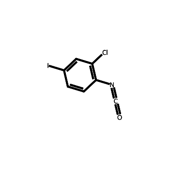 O=C=Nc1ccc(I)cc1Cl